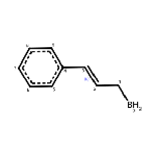 BC/C=C/c1ccccc1